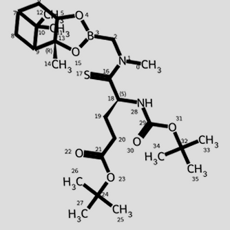 CN(CB1OC2CC3CC(C3(C)C)[C@@]2(C)O1)C(=S)[C@H](CCC(=O)OC(C)(C)C)NC(=O)OC(C)(C)C